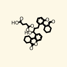 O=C(O)CCC(=O)OC(Cc1cccc2oc(=O)c3c(c12)CCCC3)C(O)c1cccc2oc(=O)c3c(c12)CCCC3